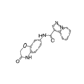 O=C1COc2cc(NC(=O)c3cnn4ccccc34)ccc2N1